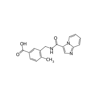 Cc1ccc(C(=O)O)cc1CNC(=O)c1cnc2ccccn12